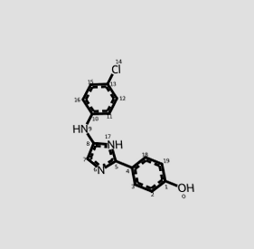 Oc1ccc(-c2ncc(Nc3ccc(Cl)cc3)[nH]2)cc1